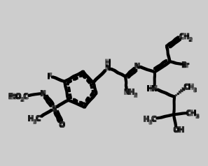 C=C/C(Br)=C(\N=C(/N)Nc1ccc(S(C)(=O)=NC(=O)OCC)c(F)c1)N[C@H](C)C(C)(C)O